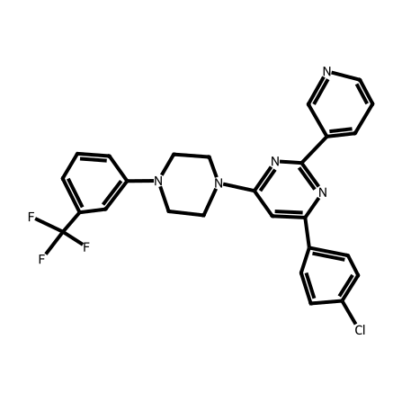 FC(F)(F)c1cccc(N2CCN(c3cc(-c4ccc(Cl)cc4)nc(-c4cccnc4)n3)CC2)c1